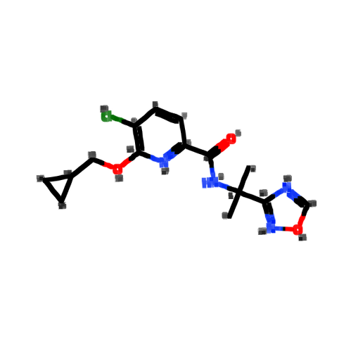 CC(C)(NC(=O)c1ccc(Cl)c(OCC2CC2)n1)c1ncon1